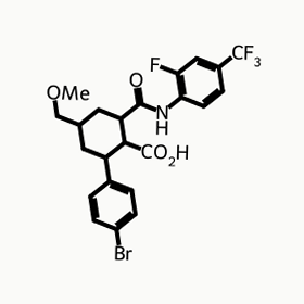 COCC1CC(C(=O)Nc2ccc(C(F)(F)F)cc2F)C(C(=O)O)C(c2ccc(Br)cc2)C1